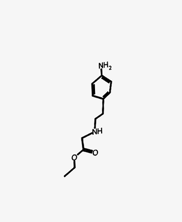 CCOC(=O)CNCCc1ccc(N)cc1